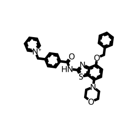 O=C(Nc1nc2c(OCc3ccccc3)ccc(N3CCOCC3)c2s1)c1ccc(C[n+]2ccccc2)cc1